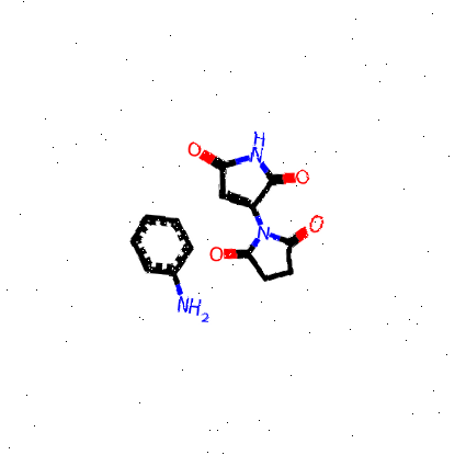 Nc1ccccc1.O=C1C=C(N2C(=O)CCC2=O)C(=O)N1